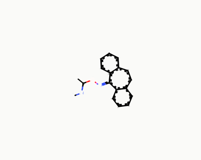 CNC(C)ON=c1c2ccccc2ccc2ccccc12